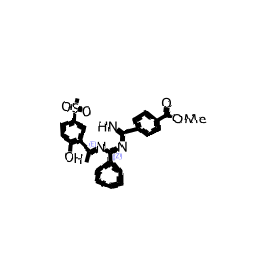 COC(=O)c1ccc(C(=N)/N=C(\N=C(/C)c2cc(S(C)(=O)=O)ccc2O)c2ccccc2)cc1